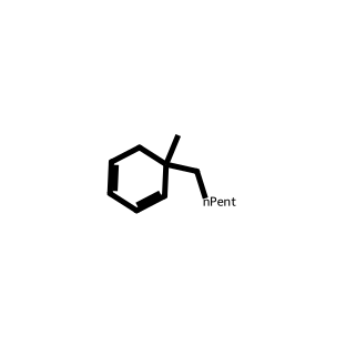 CCCCCCC1(C)C=CC=CC1